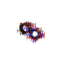 CC(=O)C(O)C(O)C1NC(=O)C(C(C)C)CC(=O)C(CO)NC(=O)C(CNC(=O)C(C)NC2=C3NC(=O)/C(C)=C\C=C\[C@H](C)[C@H](O)[C@@H](C)[C@@H](O)[C@@H](C)[C@H](C)[C@H](C)[C@@H](CO)/C=C/O[C@@]4(C)Oc5c(C)c(O)c(c(c5C4=O)C2=O)C3=O)NC(=O)C(C(=O)O)NC(=O)C(O)CNC(=O)C(C(C)O)NC1=O